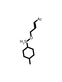 CC(=O)C=CCO[SiH2]C1CCC(C)CC1